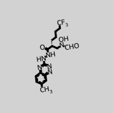 Cc1ccc2nc(NNC(=O)[C@H](CCCCC(F)(F)F)CN(O)C=O)nnc2c1